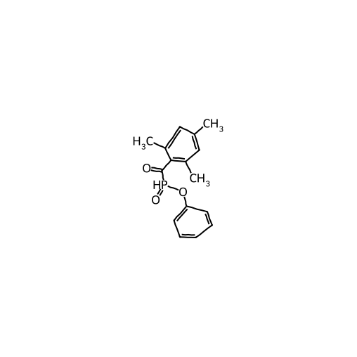 Cc1cc(C)c(C(=O)[PH](=O)Oc2ccccc2)c(C)c1